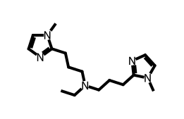 CCN(CCCc1nccn1C)CCCc1nccn1C